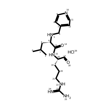 CC(C)C[C@H](NCc1ccncc1)C(=O)N[C@H](C=O)CCCNC(=N)N.Cl